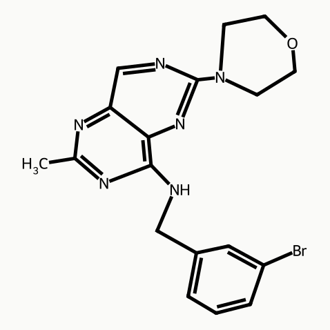 Cc1nc(NCc2cccc(Br)c2)c2nc(N3CCOCC3)ncc2n1